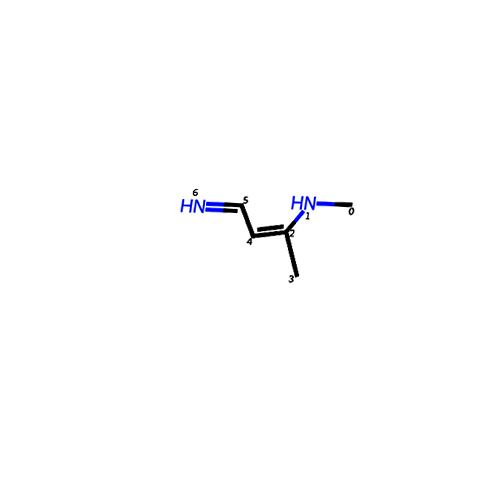 CN/C(C)=C\C=N